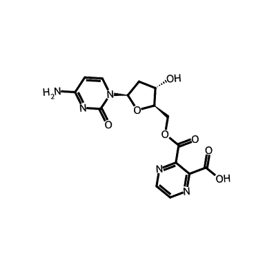 Nc1ccn([C@H]2C[C@H](O)[C@@H](COC(=O)c3nccnc3C(=O)O)O2)c(=O)n1